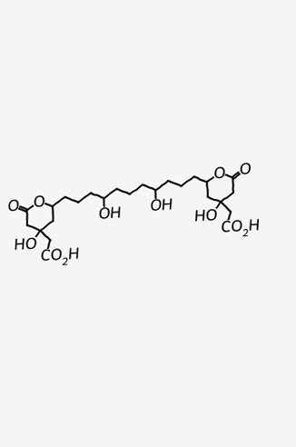 O=C(O)CC1(O)CC(=O)OC(CCCC(O)CCCC(O)CCCC2CC(O)(CC(=O)O)CC(=O)O2)C1